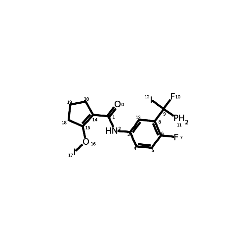 O=C(Nc1ccc(F)c(C(F)(P)I)c1)C1=C(OI)CCC1